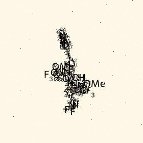 COC(=O)N[C@H](C(=O)N[C@@H](Cc1ccc(C#Cc2ccc(N3CC4CCC(C3)N4C3COC3)nc2)cc1)[C@@H](O)CN(Cc1ccc(-c2cnn(C(F)F)c2)cc1)NC(=O)[C@@H](NC(=O)OC)C(C)(C)C(F)(F)F)C(C)(C)C(F)(F)F